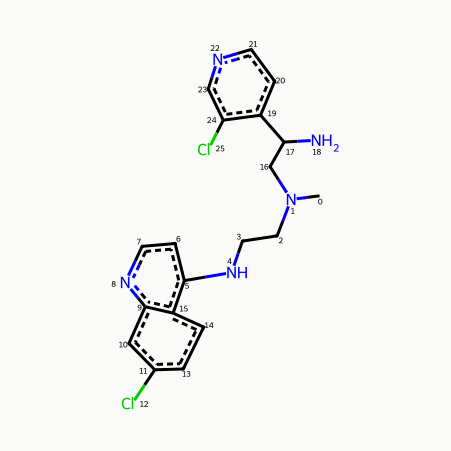 CN(CCNc1ccnc2cc(Cl)ccc12)CC(N)c1ccncc1Cl